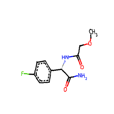 COCC(=O)N[C@H](C(N)=O)c1ccc(F)cc1